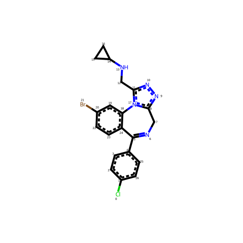 Clc1ccc(C2=NCc3nnc(CNC4CC4)n3-c3cc(Br)ccc32)cc1